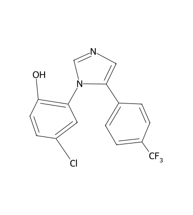 Oc1ccc(Cl)cc1-n1cncc1-c1ccc(C(F)(F)F)cc1